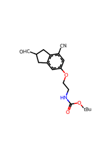 CC(C)(C)OC(=O)NCCOc1cc(C#N)c2c(c1)CC(C=O)C2